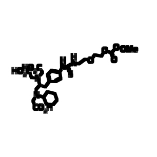 COOC(=O)OCCOCCNC(=S)Nc1ccc(C[C@@H](CN(CC(=O)O)C2CCCCC2)N(CC(=O)O)CC(=O)O)cc1